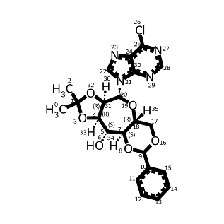 CC1(C)O[C@@H]2[C@@H](O)[C@@H]3OC(c4ccccc4)OC[C@H]3O[C@@H](n3cnc4c(Cl)ncnc43)[C@@H]2O1